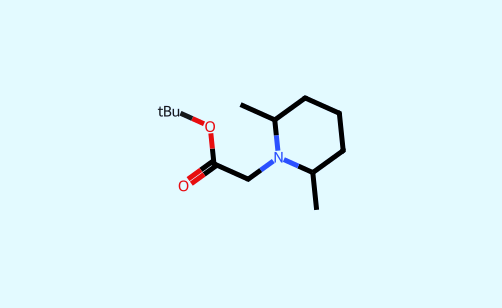 CC1CCCC(C)N1CC(=O)OC(C)(C)C